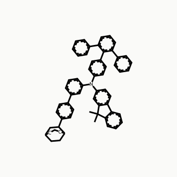 CC1(C)c2ccccc2-c2ccc(N(c3ccc(-c4c(-c5ccccc5)cccc4-c4ccccc4)cc3)c3cccc(-c4ccc(C5CC6CCCC5CC6)cc4)c3)cc21